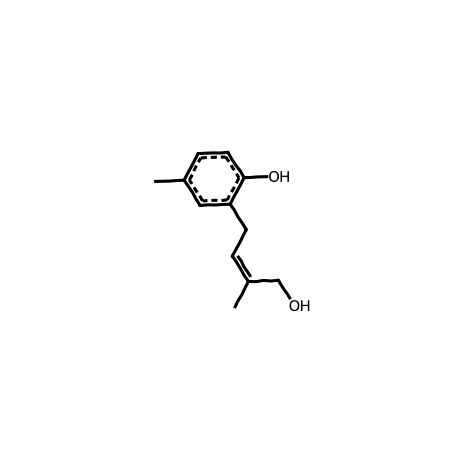 CC(=CCc1cc(C)ccc1O)CO